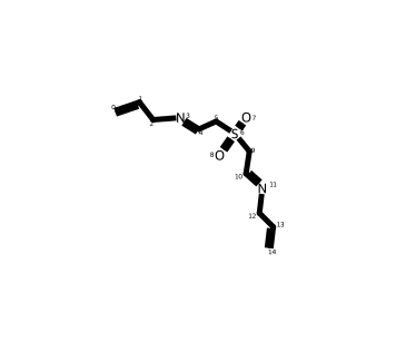 C=CCN=CCS(=O)(=O)CC=NCC=C